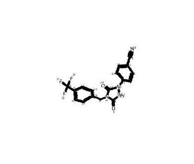 N#Cc1ccc(-n2[nH]c(=O)n(Cc3ccc(C(F)(F)F)cc3)c2=O)cc1